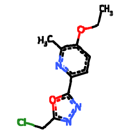 CCOc1ccc(-c2nnc(CCl)o2)nc1C